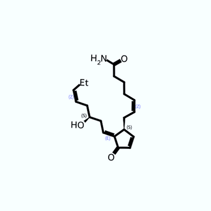 CC/C=C\C[C@H](O)C/C=C1/C(=O)C=C[C@@H]1C/C=C\CCCC(N)=O